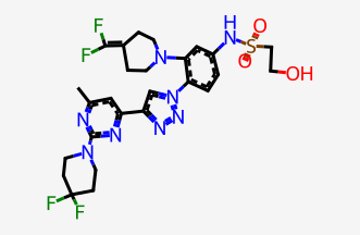 Cc1cc(-c2cn(-c3ccc(NS(=O)(=O)CCO)cc3N3CCC(=C(F)F)CC3)nn2)nc(N2CCC(F)(F)CC2)n1